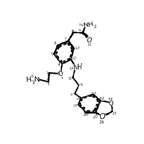 NCCOc1ccc(CC(N)=O)cc1NCCCc1ccc2c(c1)OCO2